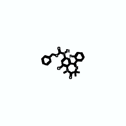 CCN(C(=O)OCc1ccccc1)c1cc(Cl)c2c(c1)C(c1ccccc1F)=NC(C)(C)C(=O)N2C